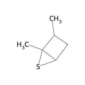 CC1CC2SC12C